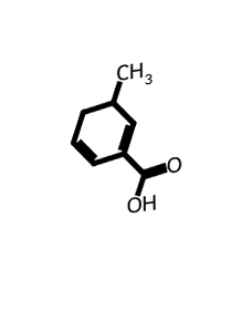 CC1C=C(C(=O)O)C=CC1